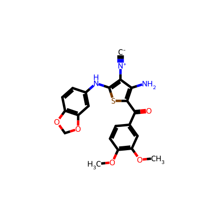 [C-]#[N+]c1c(Nc2ccc3c(c2)OCO3)sc(C(=O)c2ccc(OC)c(OC)c2)c1N